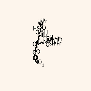 CC(C)CN(CC(C)C)C(=O)C(S)C(S)C(=O)NCCCN(CCCNC(=O)C(S)C(S)C(=O)N(CC(C)C)CC(C)C)C(=O)CCC(=O)Oc1ccc([N+](=O)[O-])cc1